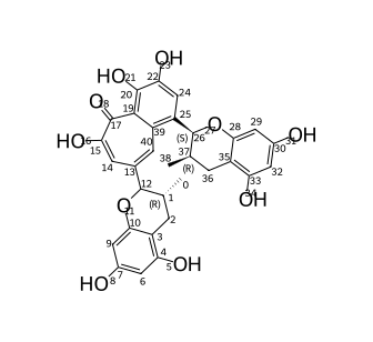 C[C@@H]1Cc2c(O)cc(O)cc2OC1c1cc(O)c(=O)c2c(O)c(O)cc([C@H]3Oc4cc(O)cc(O)c4C[C@H]3C)c2c1